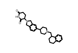 O=C1CCC(N2Cc3ccc(C4CCN(CC5CCCc6ccccc65)CC4)cc3C2)C(=O)N1